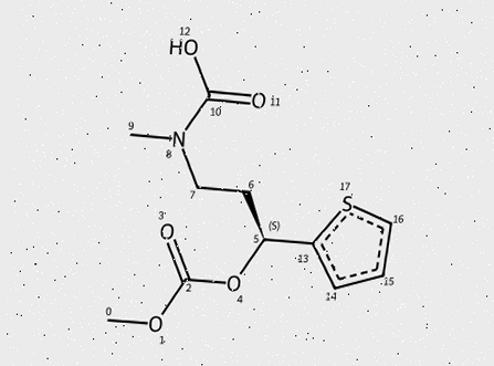 COC(=O)O[C@@H](CCN(C)C(=O)O)c1cccs1